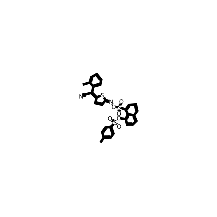 Cc1ccc(S(=O)(=O)Oc2cccc3cccc(S(=O)(=O)ON=C4C=CC(=C(C#N)c5ccccc5C)S4)c23)cc1